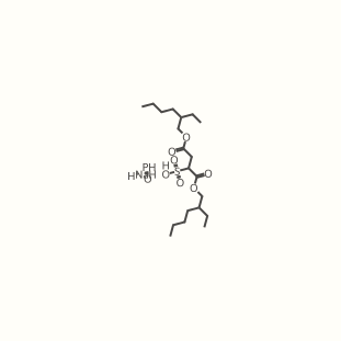 CCCCC(CC)COC(=O)CC(C(=O)OCC(CC)CCCC)S(=O)(=O)O.O=P.[H+].[NaH]